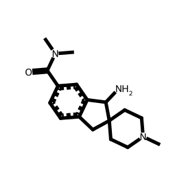 CN1CCC2(CC1)Cc1ccc(C(=O)N(C)C)cc1C2N